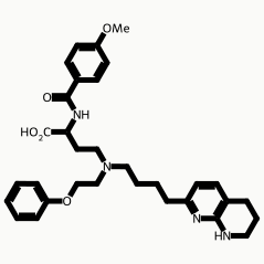 COc1ccc(C(=O)NC(CCN(CCCCc2ccc3c(n2)NCCC3)CCOc2ccccc2)C(=O)O)cc1